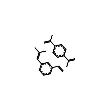 C=C(C)c1ccc(C(=C)C)cc1.C=Cc1cccc(C=C(C)C)c1